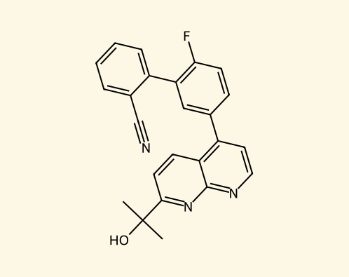 CC(C)(O)c1ccc2c(-c3ccc(F)c(-c4ccccc4C#N)c3)ccnc2n1